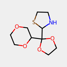 C1CSC(C2(C3COCCO3)OCCO2)N1